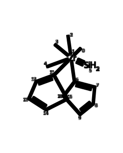 [CH3][Zr]([CH3])([CH3])([CH3])(=[SiH2])([C]1=CC=CC1)[C]1=CC=CC1